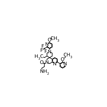 CCOc1ncccc1-c1ccc2c(n1)CN(C(=O)CCN)CC21CCN(c2ccc(OC)nc2C(F)(F)F)CC1CC